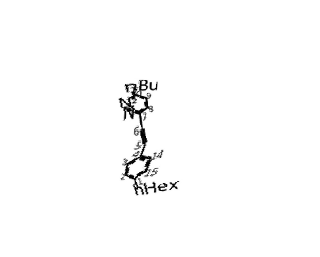 CCCCCCc1ccc(C#Cc2ccc(CCCC)nn2)cc1